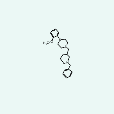 COc1ccccc1N1CCN(CC2CCCN(Cc3ccccc3)C2)CC1